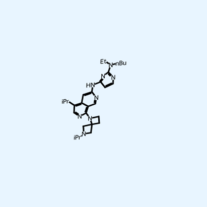 CCCCN(CC)c1nccc(Nc2cc3c(C(C)C)cnc(N4CCC45CN(C(C)C)C5)c3cn2)n1